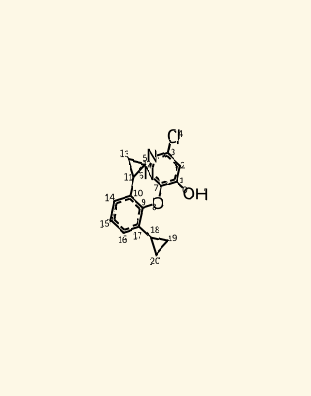 Oc1cc(Cl)nnc1Oc1c(C2CC2)cccc1C1CC1